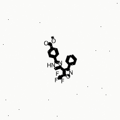 COC(=O)c1ccc(-c2nc(-c3c(-c4ccccc4)noc3C(F)(F)F)c[nH]2)cc1